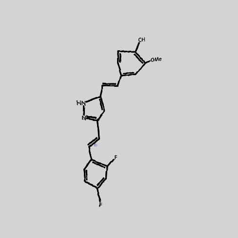 COc1cc(C=Cc2cc(/C=C/c3ccc(F)cc3F)n[nH]2)ccc1O